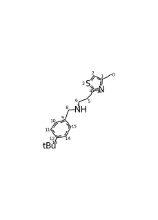 Cc1csc(CCNCc2ccc(C(C)(C)C)cc2)n1